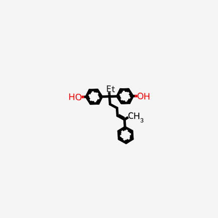 CCC(CCC=C(C)c1ccccc1)(c1ccc(O)cc1)c1ccc(O)cc1